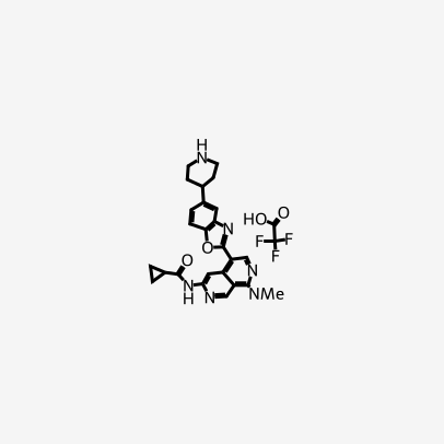 CNc1ncc(-c2nc3cc(C4CCNCC4)ccc3o2)c2cc(NC(=O)C3CC3)ncc12.O=C(O)C(F)(F)F